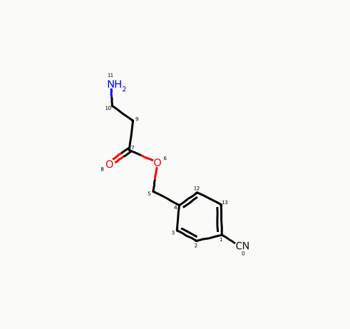 N#Cc1ccc(COC(=O)CCN)cc1